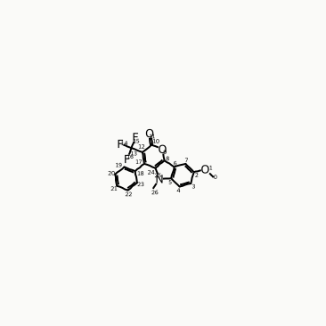 COc1ccc2c(c1)c1oc(=O)c(C(F)(F)F)c(-c3ccccc3)c1n2C